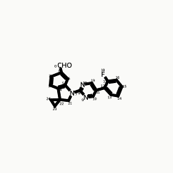 O=Cc1ccc2c(c1)N(c1ncc(-c3ccccc3F)cn1)CC21CC1